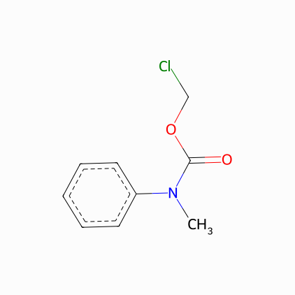 CN(C(=O)OCCl)c1ccccc1